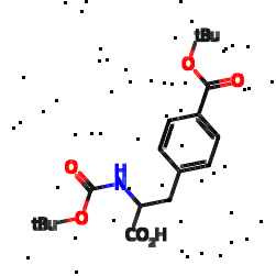 CC(C)(C)OC(=O)NC(Cc1ccc(C(=O)OC(C)(C)C)cc1)C(=O)O